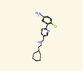 Nc1ccc(Cl)c(-c2ccc(CNCCC3CCCCC3)cn2)c1